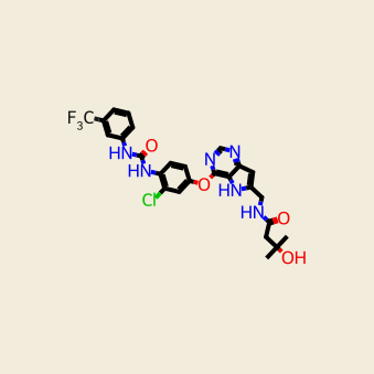 CC(C)(O)CC(=O)NCc1cc2ncnc(Oc3ccc(NC(=O)Nc4cccc(C(F)(F)F)c4)c(Cl)c3)c2[nH]1